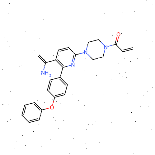 C=CC(=O)N1CCN(c2ccc(C(=C)N)c(-c3ccc(Oc4ccccc4)cc3)n2)CC1